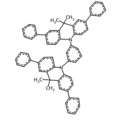 CC1(C)c2cc(-c3ccccc3)ccc2N(c2cccc(N3c4ccc(-c5ccccc5)cc4C(C)(C)c4cc(-c5ccccc5)ccc43)c2)c2ccc(-c3ccccc3)cc21